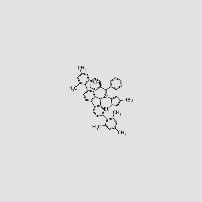 CCC1C=C(C(C)(C)C)C=[C]1[Zr](=[C](c1ccccc1)c1ccccc1)[CH]1c2cc(-c3c(C)cc(C)cc3C)ccc2-c2ccc(-c3c(C)cc(C)cc3C)cc21